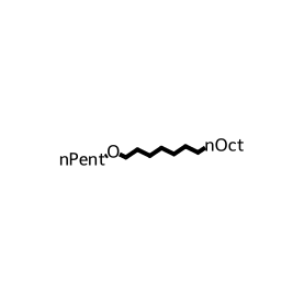 CCCCCCCCCCCCCCCOCCCCC